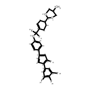 CC1COC(C2CC=C(C(F)(F)Oc3ccc(-c4ccc(-c5cc(F)c(F)c(F)c5)c(F)c4)cc3)CC2)OC1